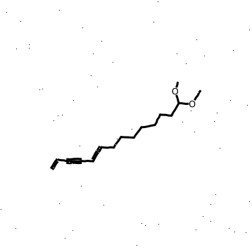 C=CC#CC=CCCCCCCCC(OC)OC